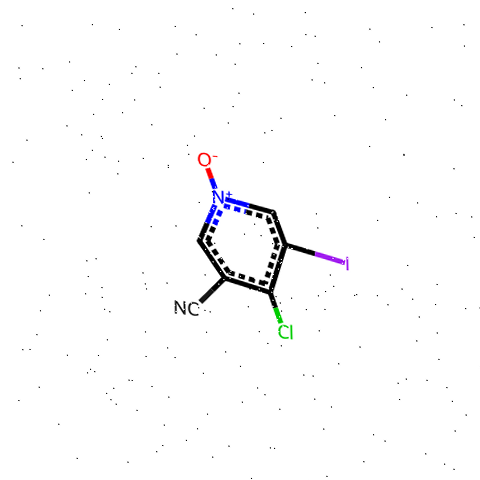 N#Cc1c[n+]([O-])cc(I)c1Cl